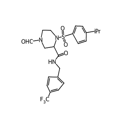 CC(C)c1ccc(S(=O)(=O)N2CCN(C=O)CC2C(=O)NCc2ccc(C(F)(F)F)cc2)cc1